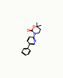 CC1(C)CCN(c2ccc(-c3ccccc3)cn2)C(=O)O1